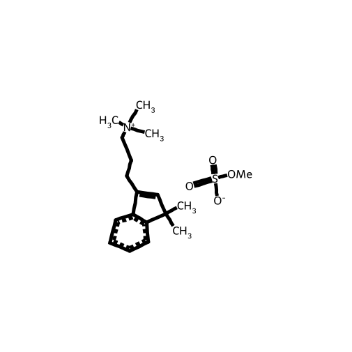 CC1(C)C=C(CCC[N+](C)(C)C)c2ccccc21.COS(=O)(=O)[O-]